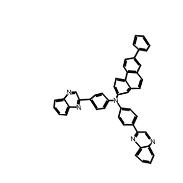 c1ccc(-c2ccc3c(ccc4cc(N(c5ccc(-c6cnc7ccccc7n6)cc5)c5ccc(-c6cnc7ccccc7n6)cc5)ccc43)c2)cc1